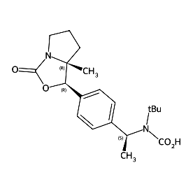 C[C@@H](c1ccc([C@H]2OC(=O)N3CCC[C@]23C)cc1)N(C(=O)O)C(C)(C)C